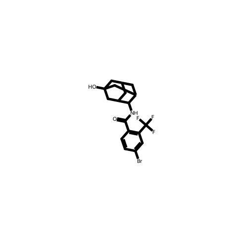 O=C(NC1C2CC3CC1CC(O)(C3)C2)c1ccc(Br)cc1C(F)(F)F